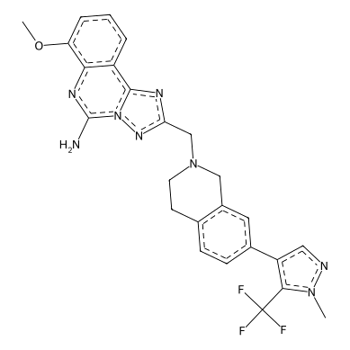 COc1cccc2c1nc(N)n1nc(CN3CCc4ccc(-c5cnn(C)c5C(F)(F)F)cc4C3)nc21